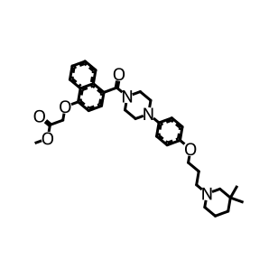 COC(=O)COc1ccc(C(=O)N2CCN(c3ccc(OCCCN4CCCC(C)(C)C4)cc3)CC2)c2ccccc12